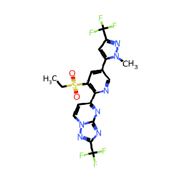 CCS(=O)(=O)c1cc(-c2cc(C(F)(F)F)nn2C)cnc1-c1ccn2nc(C(F)(F)F)nc2n1